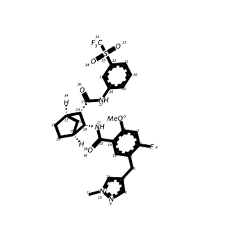 COc1cc(F)c(Cc2cnn(C)c2)cc1C(=O)N[C@@H]1[C@H]2CC[C@H](C2)[C@@H]1C(=O)Nc1cccc(S(=O)(=O)C(F)(F)F)c1